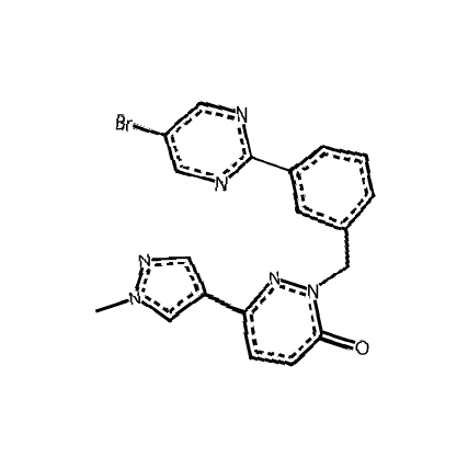 Cn1cc(-c2ccc(=O)n(Cc3cccc(-c4ncc(Br)cn4)c3)n2)cn1